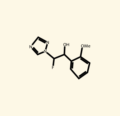 COc1ccccc1C(O)C(F)n1cncn1